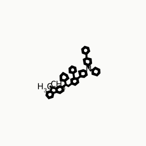 CC1(C)c2ccccc2-c2ccc(C(Cc3ccc(-c4ccc(N(c5ccccc5)c5ccc(-c6ccccc6)cc5)cc4)c(-c4ccccc4)c3)c3ccccc3)cc21